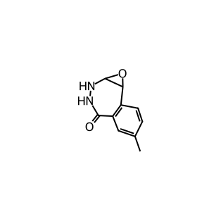 Cc1ccc2c(c1)C(=O)NNC1OC21